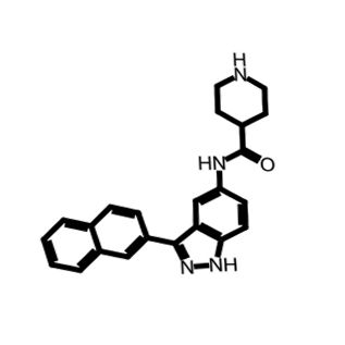 O=C(Nc1ccc2[nH]nc(-c3ccc4ccccc4c3)c2c1)C1CCNCC1